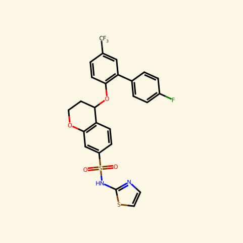 O=S(=O)(Nc1nccs1)c1ccc2c(c1)OCCC2Oc1ccc(C(F)(F)F)cc1-c1ccc(F)cc1